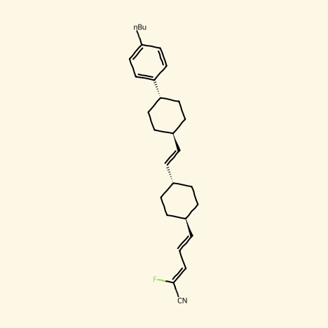 CCCCc1ccc([C@H]2CC[C@H](/C=C/[C@H]3CC[C@H](C=CC=C(F)C#N)CC3)CC2)cc1